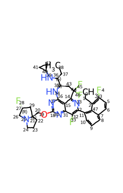 CCc1c(F)ccc2cccc(-c3nc4c5c(nc(OC[C@@]67CCCN6C[C@H](F)C7)nc5c3F)N[C@@H]([C@H](CC)NC3CC3)CC4(F)F)c12